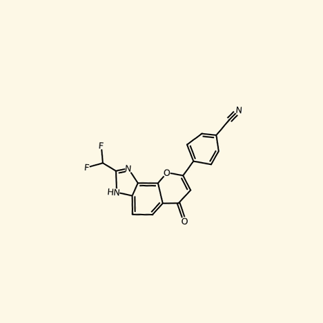 N#Cc1ccc(-c2cc(=O)c3ccc4[nH]c(C(F)F)nc4c3o2)cc1